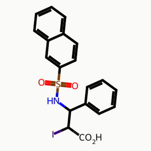 O=C(O)C(I)C(NS(=O)(=O)c1ccc2ccccc2c1)c1ccccc1